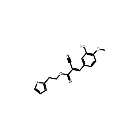 COc1ccc(/C=C(\C#N)C(=O)OCCc2cccs2)cc1O